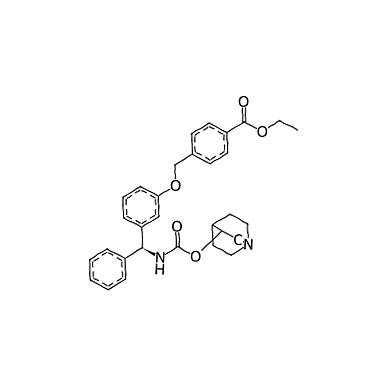 CCOC(=O)c1ccc(COc2cccc([C@@H](NC(=O)OC3CN4CCC3CC4)c3ccccc3)c2)cc1